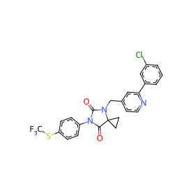 O=C1N(c2ccc(SC(F)(F)F)cc2)C(=O)C2(CC2)N1Cc1ccnc(-c2cccc(Cl)c2)c1